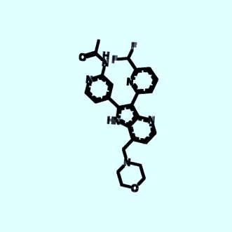 CC(=O)Nc1cc(-c2[nH]c3c(CN4CCOCC4)ccnc3c2-c2cccc(C(F)F)n2)ccn1